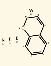 C1=Cc2ccccc2OC1.[B].[Ni].[P].[W]